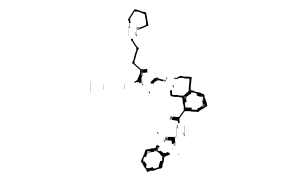 O=C(Nc1nc2ccccc2s1)c1cccc2c1CN(c1nc(C(=O)O)c(CCCN3CCCC3)s1)CC2